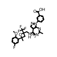 C=C(NCC1(C(F)(F)F)CC(C)(c2cc(F)ccc2OC)O1)c1cnn(-c2cccc(C(=O)O)c2)c1/N=C(/C)N